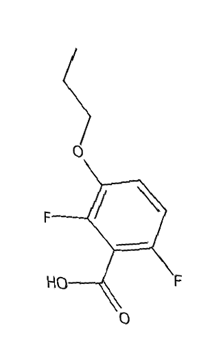 CCCOc1ccc(F)c(C(=O)O)c1F